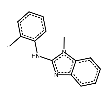 [CH2]c1ccccc1Nc1nc2ccccc2n1C